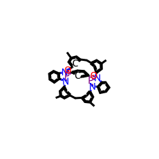 Cc1cc2cc(c1)N1c3ccccc3N3c4cc(C)cc(c4)Cc4cc(C)cc(c4)N4c5ccccc5N(c5cc(C)cc(c5)C2)P4(=O)c2ccc(cc2)P13=O